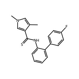 Cc1cn(C)cc1C(=S)Nc1ccccc1-c1ccc(F)cc1